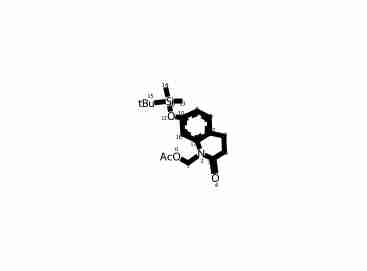 CC(=O)OCN1C(=O)CCc2ccc(O[Si](C)(C)C(C)(C)C)cc21